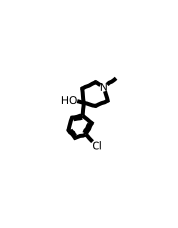 CN1CCC(O)(c2cccc(Cl)c2)CC1